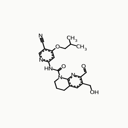 CC(C)COc1cc(NC(=O)N2CCCc3cc(CO)c(C=O)nc32)ncc1C#N